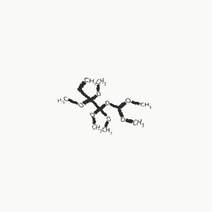 CCC(OC)(OC)C(OC)(OC)O[C](OC)OC